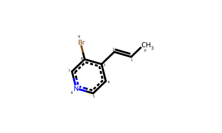 CC=Cc1ccncc1Br